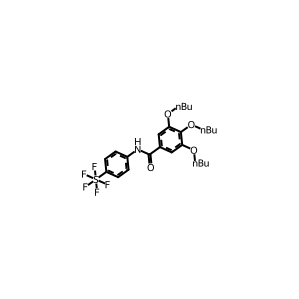 CCCCOc1cc(C(=O)Nc2ccc(S(F)(F)(F)(F)F)cc2)cc(OCCCC)c1OCCCC